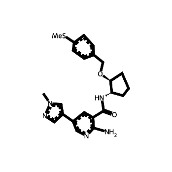 CSc1ccc(CO[C@H]2CCC[C@@H]2NC(=O)c2cc(-c3cnn(C)c3)cnc2N)cc1